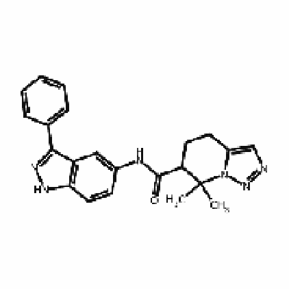 CC1(C)C(C(=O)Nc2ccc3[nH]nc(-c4ccccc4)c3c2)CCc2cnnn21